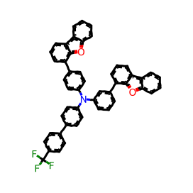 FC(F)(F)c1ccc(-c2ccc(N(c3ccc(-c4cccc5c4oc4ccccc45)cc3)c3cccc(-c4cccc5c4oc4ccccc45)c3)cc2)cc1